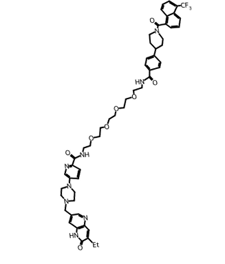 CCc1cc2ncc(CN3CCN(c4ccc(C(=O)NCCOCCOCCOCCOCCNC(=O)c5ccc(C6CCN(C(=O)c7cccc8c(C(F)(F)F)cccc78)CC6)cc5)nc4)CC3)cc2[nH]c1=O